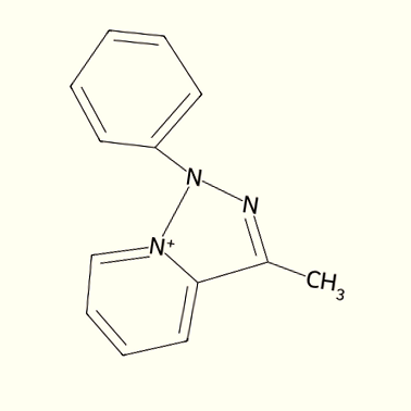 Cc1nn(-c2ccccc2)[n+]2ccccc12